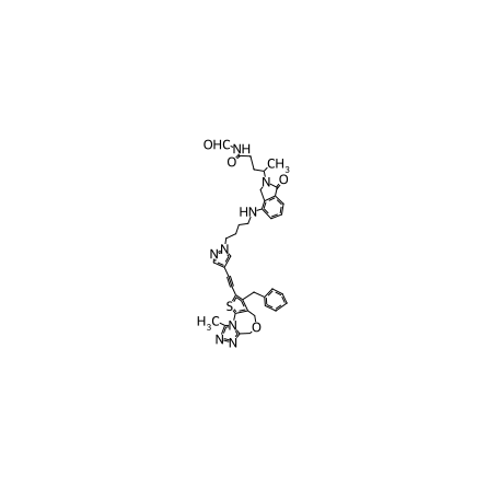 Cc1nnc2n1-c1sc(C#Cc3cnn(CCCCNc4cccc5c4CN(C(C)CCC(=O)NC=O)C5=O)c3)c(Cc3ccccc3)c1COC2